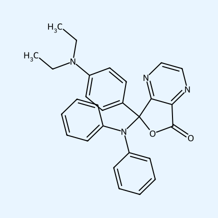 CCN(CC)c1ccc(C2(N(c3ccccc3)c3ccccc3)OC(=O)c3nccnc32)cc1